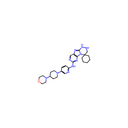 c1cc(Nc2ncc3nc4n(c3n2)C2(CCCCC2)CNN4)ncc1N1CCC(N2CCOCC2)CC1